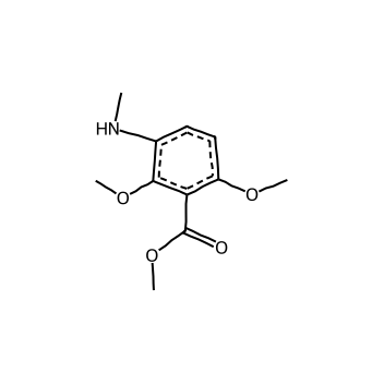 CNc1ccc(OC)c(C(=O)OC)c1OC